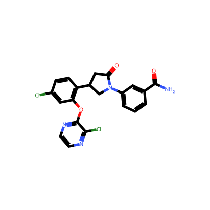 NC(=O)c1cccc(N2CC(c3ccc(Cl)cc3Oc3nccnc3Cl)CC2=O)c1